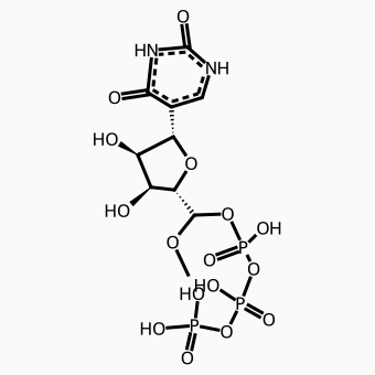 COC(OP(=O)(O)OP(=O)(O)OP(=O)(O)O)[C@H]1O[C@@H](c2c[nH]c(=O)[nH]c2=O)[C@H](O)[C@@H]1O